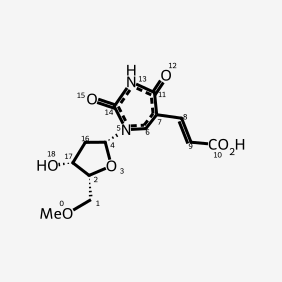 COC[C@H]1O[C@@H](n2cc(/C=C/C(=O)O)c(=O)[nH]c2=O)C[C@H]1O